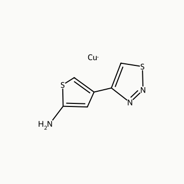 Nc1cc(-c2csnn2)cs1.[Cu]